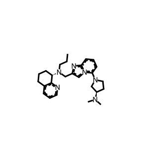 CCCN(Cc1cn2c(N3CC[C@@H](N(C)C)C3)cccc2n1)[C@H]1CCCc2cccnc21